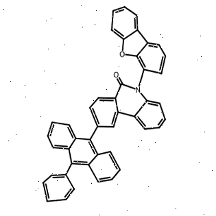 O=c1c2ccc(-c3c4ccccc4c(-c4ccccc4)c4ccccc34)cc2c2ccccc2n1-c1cccc2c1oc1ccccc12